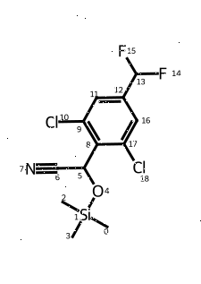 C[Si](C)(C)OC(C#N)c1c(Cl)cc(C(F)F)cc1Cl